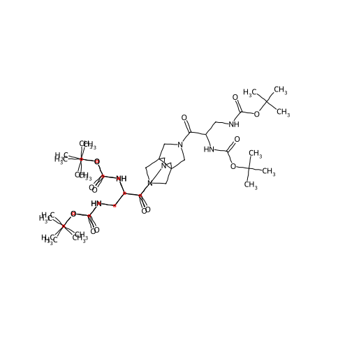 CC(C)(C)OC(=O)NCC(NC(=O)OC(C)(C)C)C(=O)N1CC23CN(C(=O)C(CNC(=O)OC(C)(C)C)NC(=O)OC(C)(C)C)CC2(C1)CN(C(=O)C(CNC(=O)OC(C)(C)C)NC(=O)OC(C)(C)C)C3